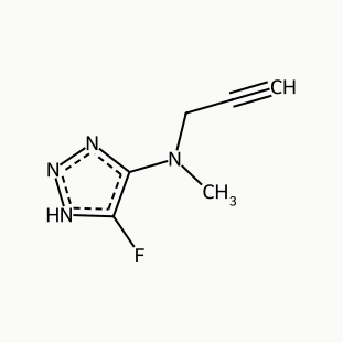 C#CCN(C)c1nn[nH]c1F